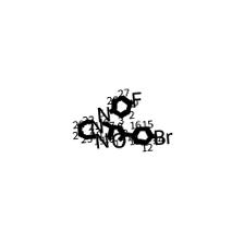 Fc1ccc(/N=c2\c3cc(-c4ccc(Br)cc4)oc3nc3n2CCCC3)cc1